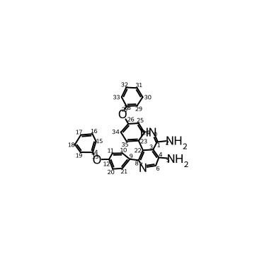 N=C(N)c1c(N)cnc(-c2ccc(Oc3ccccc3)cc2)c1-c1ccc(Oc2ccccc2)cc1